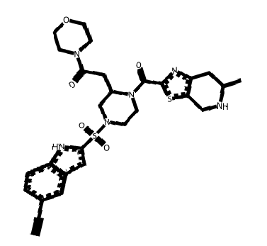 C#Cc1ccc2[nH]c(S(=O)(=O)N3CCN(C(=O)c4nc5c(s4)CNC(C)C5)C(CC(=O)N4CCOCC4)C3)cc2c1